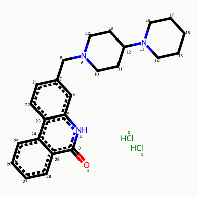 Cl.Cl.O=c1[nH]c2cc(CN3CCC(N4CCCCC4)CC3)ccc2c2ccccc12